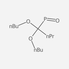 CCCCOC(CCC)(OCCCC)P=O